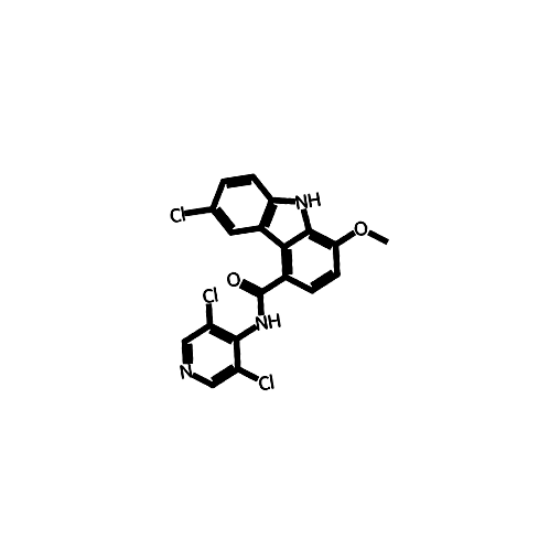 COc1ccc(C(=O)Nc2c(Cl)cncc2Cl)c2c1[nH]c1ccc(Cl)cc12